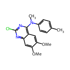 COc1cc2nc(Cl)nc(N(C)c3ccc(C)cc3)c2cc1OC